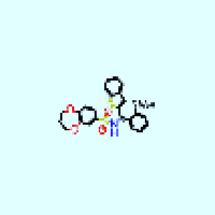 CSc1ccccc1[C@H](NS(=O)(=O)c1ccc2c(c1)OCCCO2)c1cc2ccccc2s1